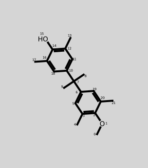 COc1c(C)cc(C(C)(C)c2cc(C)c(O)c(C)c2)cc1C